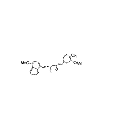 COc1cc(/C=C/C(=O)CC(=O)/C=C/c2ccc(OC)c3ccccc23)ccc1O